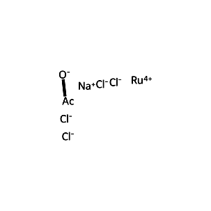 CC(=O)[O-].[Cl-].[Cl-].[Cl-].[Cl-].[Na+].[Ru+4]